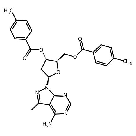 Cc1ccc(C(=O)OC[C@H]2O[C@@H](n3nc(I)c4c(N)ncnc43)C[C@@H]2OC(=O)c2ccc(C)cc2)cc1